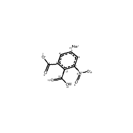 O=C([O-])c1cccc([N+](=O)[O-])c1C(=O)O.[Na+]